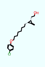 C=C1[C@@H](CCO)[C@H]1CCCCCCCCOc1ccc(Cl)cc1